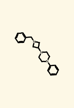 c1ccc(CN2CC(N3CCN(c4ccccc4)CC3)C2)cc1